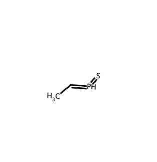 CC=[PH]=S